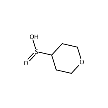 O=S(O)C1CCOCC1